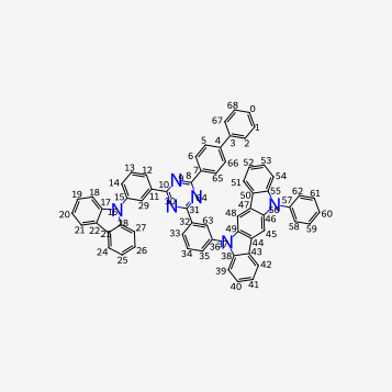 c1ccc(-c2ccc(-c3nc(-c4cccc(-n5c6ccccc6c6ccccc65)c4)nc(-c4cccc(-n5c6ccccc6c6cc7c(cc65)c5ccccc5n7-c5ccccc5)c4)n3)cc2)cc1